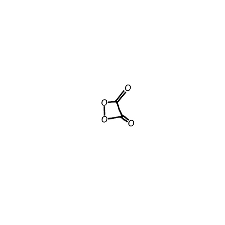 O=C1OOC1=O